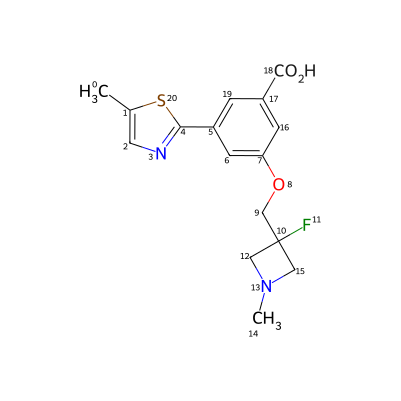 Cc1cnc(-c2cc(OCC3(F)CN(C)C3)cc(C(=O)O)c2)s1